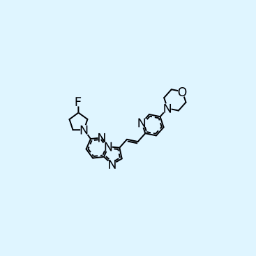 FC1CCN(c2ccc3ncc(/C=C/c4ccc(N5CCOCC5)cn4)n3n2)C1